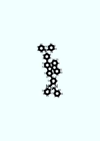 c1ccc(-c2nc3ccc(-c4ccc5c(c4)C4(c6ccccc6-c6ccccc64)c4cc(-c6ccc(P(c7ccccc7)c7ccccc7)cc6)ccc4-5)cc3c3nc4ccccc4n23)cc1